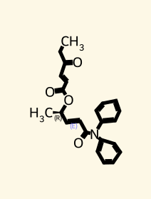 CCC(=O)C=CC(=O)O[C@H](C)/C=C/C(=O)N(c1ccccc1)c1ccccc1